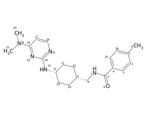 Cc1ccc(C(=O)NC[C@H]2CC[C@@H](Nc3nccc(N(C)C)n3)CC2)cc1